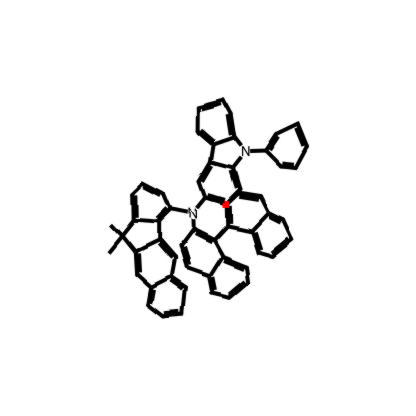 CC1(C)c2cc3ccccc3cc2-c2c(N(c3ccc4c(c3)c3ccccc3n4-c3ccccc3)c3ccc4ccccc4c3-c3cccc4ccccc34)cccc21